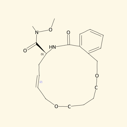 CON(C)C(=O)[C@@H]1C/C=C\COCCCCOCc2ccccc2C(=O)N1